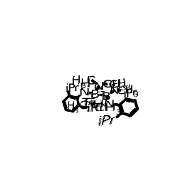 CC(C)c1cccc(C(C)C)c1NB(N(C)C)[B-](Nc1c(C(C)C)cccc1C(C)C)(N(C)C)[Ti]([CH3])[CH3]